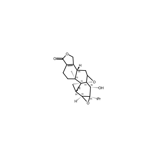 CC(C)[C@]12O[C@H]1[C@@H]1C[C@@]13[C@@]1(C)CCC4=C(COC4=O)[C@@H]1CC1O[C@@]13[C@@H]2O